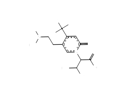 CC(C)C(C(=O)O)n1cc(CCN(C)C)c(C(F)(F)F)cc1=O